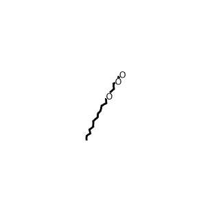 CCCCCCCCCCCCOCCCOC=O